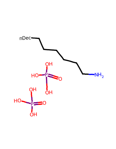 CCCCCCCCCCCCCCCCN.O=P(O)(O)O.O=P(O)(O)O